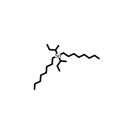 CCCCCCC[CH2][Sn]([CH2]CCCCCCC)([CH](C)CC)[CH](C)CC